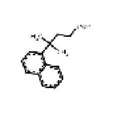 CCCCCCCCCCCC(C)(C)c1cccc2ccccc12